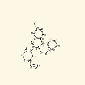 O=C(O)N1CCOC(C(=O)N2CCc3ccccc3[C@@H]2c2ccc(F)cc2)C1